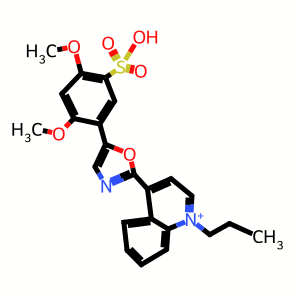 CCC[n+]1ccc(-c2ncc(-c3cc(S(=O)(=O)O)c(OC)cc3OC)o2)c2ccccc21